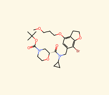 COCCCOc1cc(CN(C(=O)[C@H]2CN(C(=O)OC(C)(C)C)CCO2)C2CC2)c(Br)c2c1CCO2